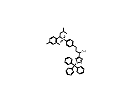 Cc1ccc(N(CC(C)C)S(=O)(=O)c2ccc(CCC(O)c3nnn(C(c4ccccc4)(c4ccccc4)c4ccccc4)n3)cc2)c(C)c1